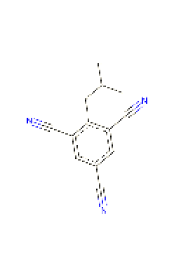 [CH2]C(C)Cc1c(C#N)cc(C#N)cc1C#N